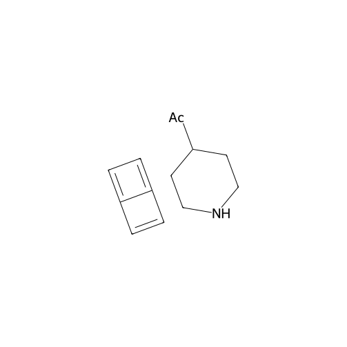 CC(=O)C1CCNCC1.c1cc2ccc1-2